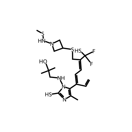 C=C/C(=C\C=C(/CSC1CN(NSC)C1)C(F)(F)S)c1c(C)nc(S)n1NCC(C)(C)O